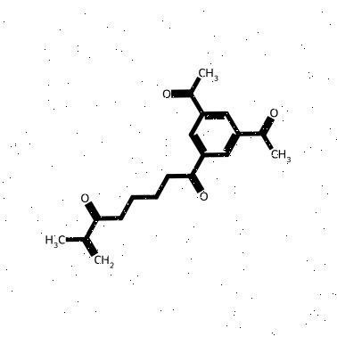 C=C(C)C(=O)CCCCC(=O)c1cc(C(C)=O)cc(C(C)=O)c1